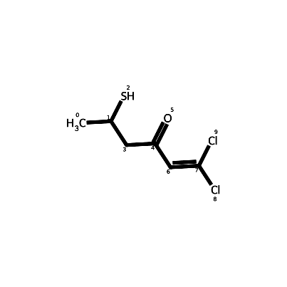 CC(S)CC(=O)C=C(Cl)Cl